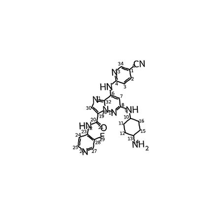 N#Cc1ccc(Nc2cc(NC3CCC(N)CC3)nn3c(C(=O)Nc4ccncc4F)cnc23)nc1